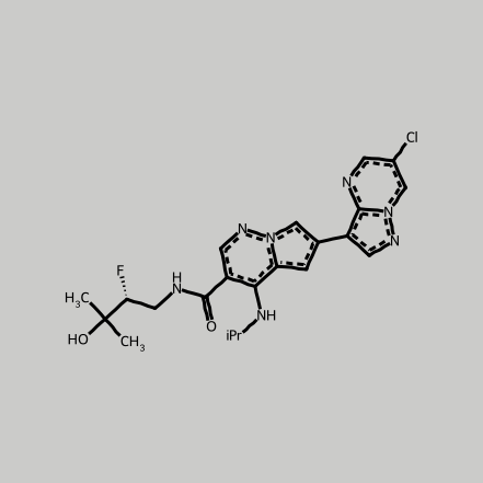 CC(C)Nc1c(C(=O)NC[C@@H](F)C(C)(C)O)cnn2cc(-c3cnn4cc(Cl)cnc34)cc12